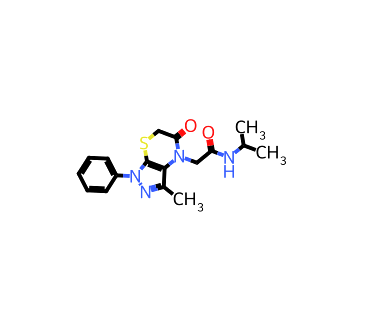 Cc1nn(-c2ccccc2)c2c1N(CC(=O)NC(C)C)C(=O)CS2